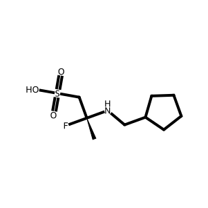 C[C@@](F)(CS(=O)(=O)O)NCC1CCCC1